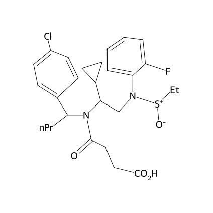 CCCC(c1ccc(Cl)cc1)N(C(=O)CCC(=O)O)C(CN(c1ccccc1F)[S+]([O-])CC)C1CC1